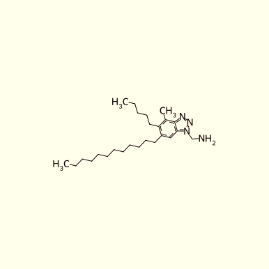 CCCCCCCCCCCCc1cc2c(nnn2CN)c(C)c1CCCCC